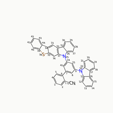 N#Cc1ccccc1-c1cc(-n2c3ccccc3c3ccccc32)cc(-n2c3ccccc3c3cc4c(cc32)sc2ccccc24)c1